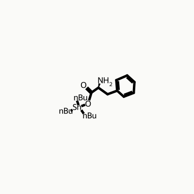 CCC[CH2][Sn]([CH2]CCC)([CH2]CCC)[O]C(=O)[C@@H](N)Cc1ccccc1